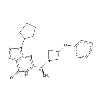 C[C@@H](c1nc2c(cnn2C2CCCC2)c(=O)[nH]1)N1CC(Oc2ccccc2)C1